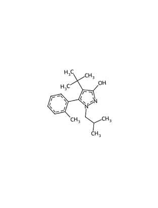 Cc1ccccc1-c1c(C(C)(C)C)c(O)nn1CC(C)C